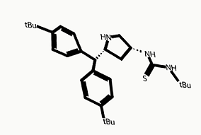 CC(C)(C)NC(=S)N[C@H]1CN[C@@H](C(c2ccc(C(C)(C)C)cc2)c2ccc(C(C)(C)C)cc2)C1